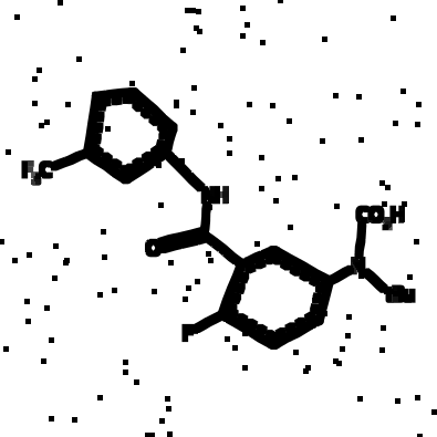 CC(C)(C)N(C(=O)O)c1ccc(F)c(C(=O)Nc2cccc(C(F)(F)F)c2)c1